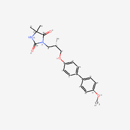 C[C@H](COc1ccc(-c2ccc(OC(F)(F)F)cc2)cc1)CN1C(=O)NC(C)(C)C1=O